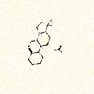 CC(=O)O[C@H]1C[C@@]2(C)[C@@H](CC[C@]23CO3)[C@@H]2CC=C3C[C@@H](O)CC[C@]3(C)[C@H]21